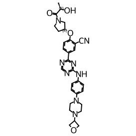 C[C@@H](O)C(=O)N1CC[C@@H](Oc2ccc(-c3ncnc(Nc4ccc(N5CCN(C6COC6)CC5)cc4)n3)cc2C#N)C1